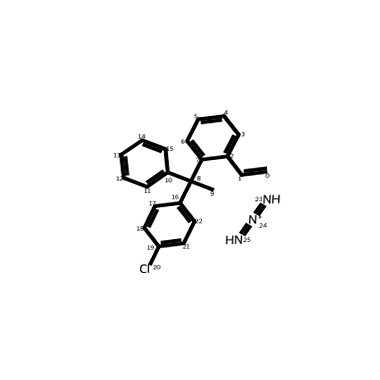 C=Cc1ccccc1C(C)(c1ccccc1)c1ccc(Cl)cc1.N=[N+]=N